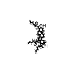 C=CCCC(=O)OC[C@@]12C(CC(C)(C)[C@@H](O)[C@@H]1OC(=O)CCC=C)C1=CCC3[C@@]4(C)CC[C@H](O)[C@](C)(COC(=O)CCC=C)C4CC[C@@]3(C)[C@]1(C)C[C@H]2O